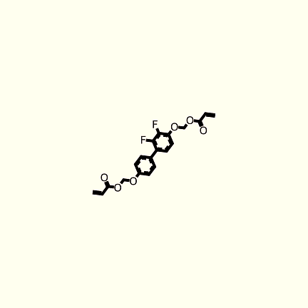 C=CC(=O)OCOc1ccc(-c2ccc(OCOC(=O)C=C)c(F)c2F)cc1